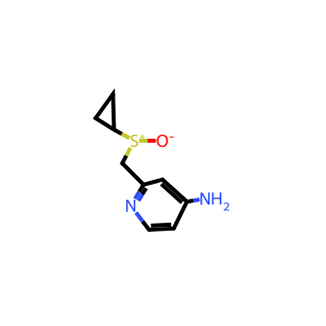 Nc1ccnc(C[S+]([O-])C2CC2)c1